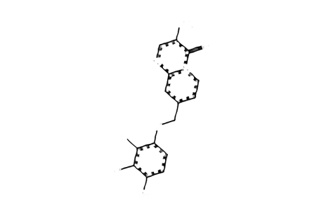 CCCc1c(OCc2ccn3c(=O)c(C(=O)OCC)cnc3c2)ccc(C(C)=O)c1O